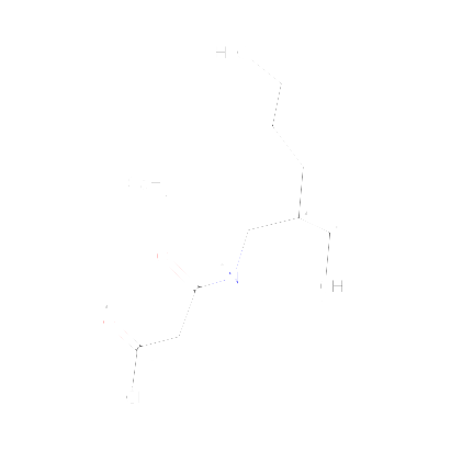 CCCCC(CC)CNC(=O)CC(C)=O.[CaH2]